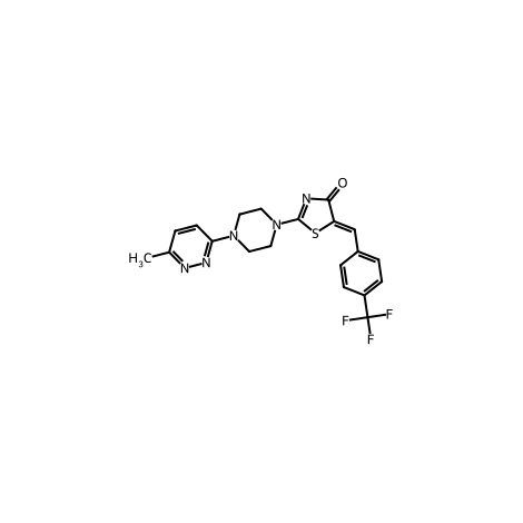 Cc1ccc(N2CCN(C3=NC(=O)C(=Cc4ccc(C(F)(F)F)cc4)S3)CC2)nn1